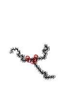 CC/C=C\C/C=C\C/C=C\C/C=C\C/C=C\C/C=C\CCC(=O)OC[C@@H](COC(=O)CCCC/C=C\C/C=C\C/C=C\C/C=C\CC)OC(=O)CCCCCCCC/C=C\C/C=C\C/C=C\CCCCC